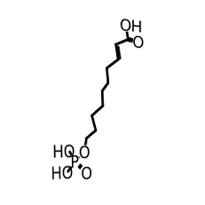 O=C(O)C=CCCCCCCCOP(=O)(O)O